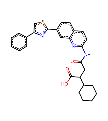 O=C(CC(C(=O)O)C1CCCCC1)Nc1ccc2ccc(-c3nc(-c4ccccc4)cs3)cc2n1